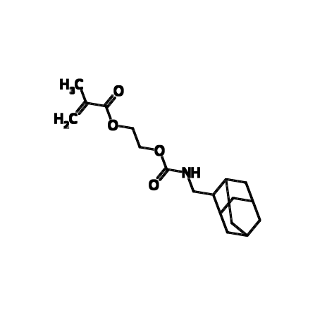 C=C(C)C(=O)OCCOC(=O)NCC1C2CC3CC(C2)CC1C3